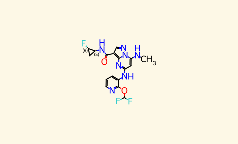 CNc1cc(Nc2cccnc2OC(F)F)nc2c(C(=O)N[C@H]3C[C@H]3F)cnn12